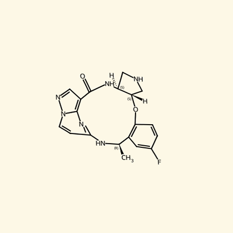 C[C@H]1Nc2ccn3ncc(c3n2)C(=O)N[C@H]2CNC[C@@H]2Oc2ccc(F)cc21